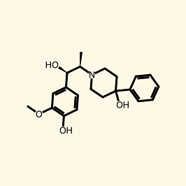 COc1cc([C@@H](O)[C@@H](C)N2CCC(O)(c3ccccc3)CC2)ccc1O